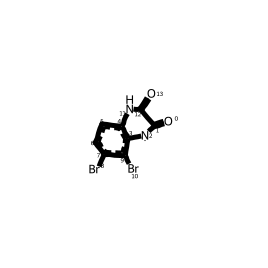 O=C1[N]c2c(ccc(Br)c2Br)NC1=O